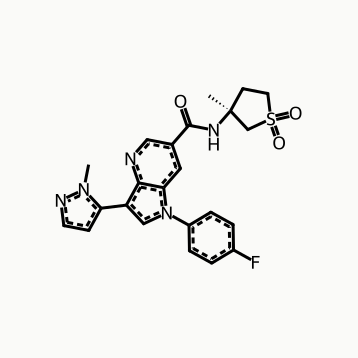 Cn1nccc1-c1cn(-c2ccc(F)cc2)c2cc(C(=O)N[C@@]3(C)CCS(=O)(=O)C3)cnc12